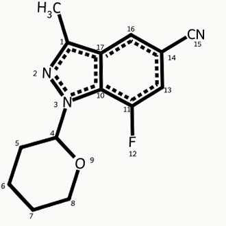 Cc1nn(C2CCCCO2)c2c(F)cc(C#N)cc12